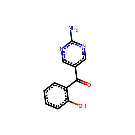 Nc1ncc(C(=O)c2ccccc2O)cn1